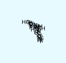 CC(C)(C)N/C(=N/C(=O)c1ccc(C(F)(F)F)cc1)Nc1cc(-c2ccc(O)cc2F)n[nH]1